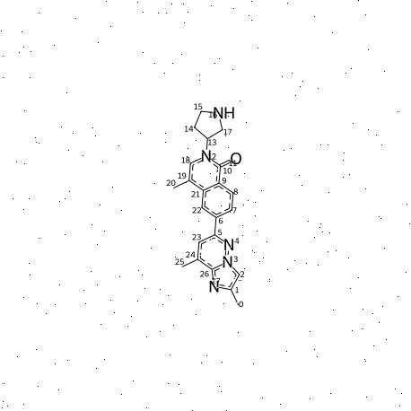 Cc1cn2nc(-c3ccc4c(=O)n(C5CCNC5)cc(C)c4c3)cc(C)c2n1